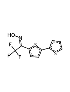 O/N=C(/c1ccc(-c2cccs2)s1)C(F)(F)F